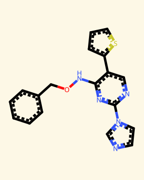 c1ccc(CONc2nc(-n3ccnc3)ncc2-c2cccs2)cc1